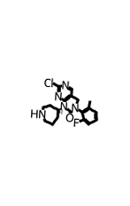 Cc1cccc(F)c1N1Cc2cnc(Cl)nc2N([C@H]2CCCNCC2)C1=O